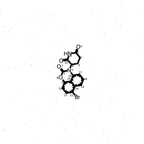 O=C1CCC(N2C(=O)Oc3ccc(Br)c4cccc2c34)C(=O)N1